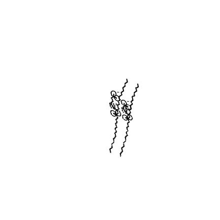 CCCCCCCCCCCCCCCC(=O)OC(CCCCCCCCCCCCCC)C[N+](C)(C)CC(=O)[O-].CCCCCCCCCCCCCCCC(=O)OC(CCCCCCCCCCCCCC)C[N+](C)(C)CCCC(=O)[O-]